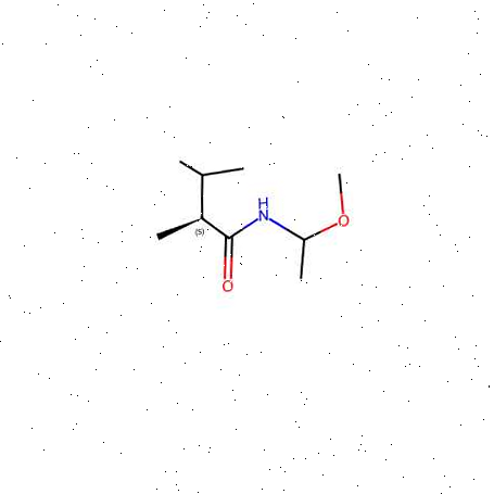 COC(C)NC(=O)[C@@H](C)C(C)C